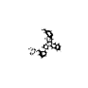 CN(C)Cc1ccccc1N1CCN(C(=O)[C@@H](Cc2ccc(Cl)cc2)N2[CH]Cc3ccccc3C2)CC1